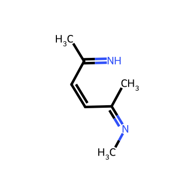 C/N=C(C)\C=C/C(C)=N